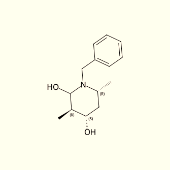 C[C@@H]1C[C@H](O)[C@@H](C)C(O)N1Cc1ccccc1